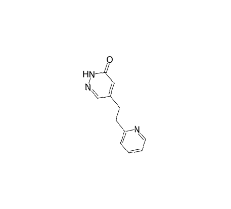 O=c1cc(CCc2ccccn2)cn[nH]1